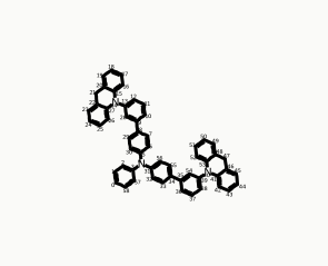 c1ccc(N(c2ccc(-c3cccc(N4c5ccccc5Cc5ccccc54)c3)cc2)c2ccc(-c3cccc(N4c5ccccc5Cc5ccccc54)c3)cc2)cc1